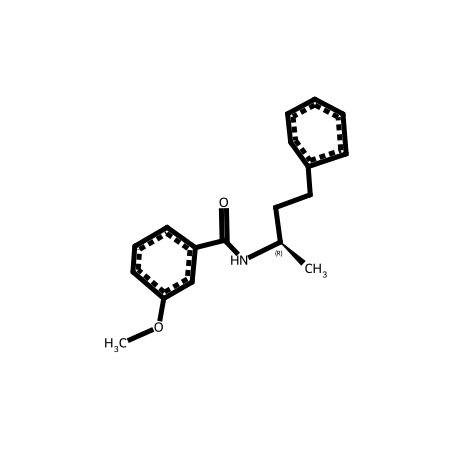 COc1cccc(C(=O)N[C@H](C)CCc2ccccc2)c1